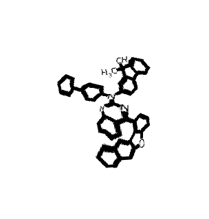 CC1(C)c2ccccc2-c2ccc(N(c3ccc(-c4ccccc4)cc3)c3nc(-c4cccc5oc6cc7ccccc7cc6c45)c4ccccc4n3)cc21